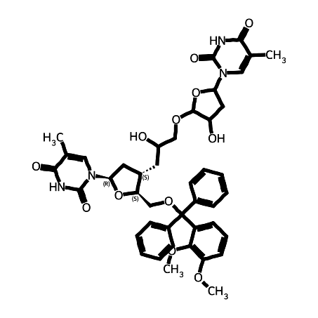 COc1cccc(C(OC[C@H]2O[C@@H](n3cc(C)c(=O)[nH]c3=O)C[C@@H]2CC(O)COC2OC(n3cc(C)c(=O)[nH]c3=O)CC2O)(c2ccccc2)c2ccccc2)c1OC